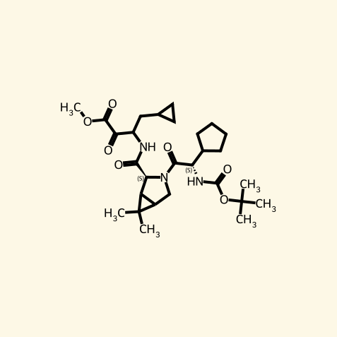 COC(=O)C(=O)C(CC1CC1)NC(=O)[C@@H]1C2C(CN1C(=O)[C@@H](NC(=O)OC(C)(C)C)C1CCCC1)C2(C)C